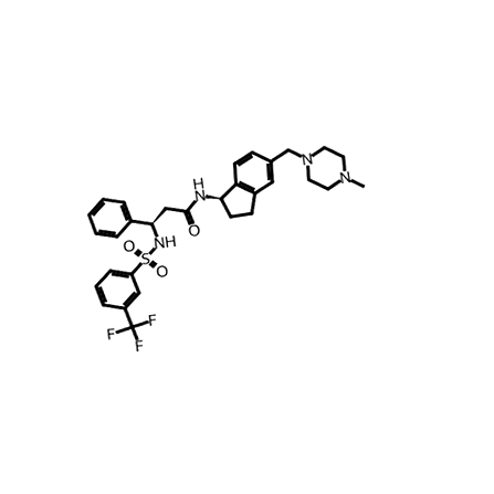 CN1CCN(Cc2ccc3c(c2)CC[C@H]3NC(=O)C[C@@H](NS(=O)(=O)c2cccc(C(F)(F)F)c2)c2ccccc2)CC1